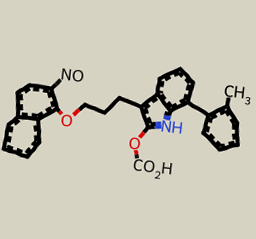 Cc1ccccc1-c1cccc2c(CCCOc3c(N=O)ccc4ccccc34)c(OC(=O)O)[nH]c12